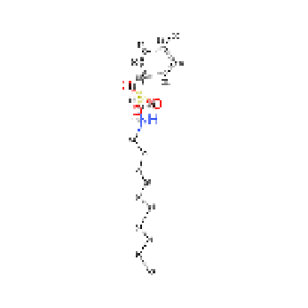 CCCCCCCCCCNOS(=O)(=O)c1ccc(C)cc1